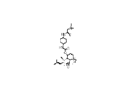 COC1C(OC(=O)N[C@H]2CC[C@H](NC(=O)CNI)CC2)CC[C@]2(CO2)C1[C@@]1(C)O[C@@H]1CC=C(C)C